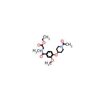 CCOC(=O)CN(C)C(=O)c1ccc(OC2CCN(C(C)=O)CC2)c(OC)c1